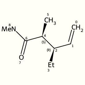 C=C[C@@H](CC)[C@H](C)C(=O)NC